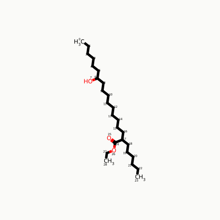 CCCCCCC(O)CCCCCCCCCC(CCCCCC)C(=O)OCC